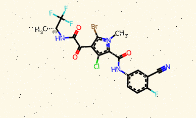 C[C@@H](NC(=O)C(=O)c1c(Cl)c(C(=O)Nc2ccc(F)c(C#N)c2)n(C)c1Br)C(F)(F)F